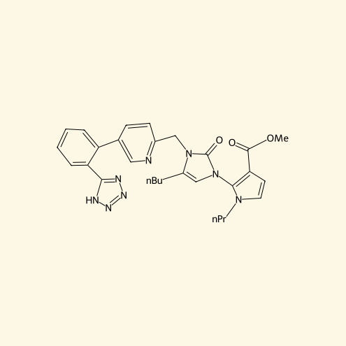 CCCCc1cn(-c2c(C(=O)OC)ccn2CCC)c(=O)n1Cc1ccc(-c2ccccc2-c2nnn[nH]2)cn1